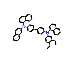 C=Cc1ccc(N(c2ccc(-c3ccc(N(c4ccc5ccccc5c4)c4cccc5ccccc45)cc3)cc2)c2cccc3ccccc23)cc1C=C